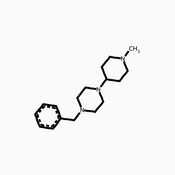 CN1CCC(N2CCN(Cc3ccccc3)CC2)CC1